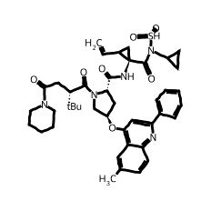 C=CC1C[C@]1(NC(=O)[C@@H]1C[C@@H](Oc2cc(-c3ccccc3)nc3ccc(C)cc23)CN1C(=O)[C@@H](CC(=O)N1CCCCC1)C(C)(C)C)C(=O)N(C1CC1)[SH](=O)=O